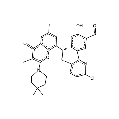 Cc1cc([C@@H](C)Nc2ccc(Cl)nc2-c2ccc(O)c(C=O)c2)c2oc(N3CCC(C)(C)CC3)c(C)c(=O)c2c1